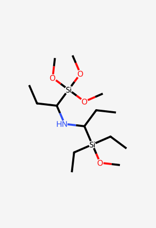 CCC(NC(CC)[Si](OC)(OC)OC)[Si](CC)(CC)OC